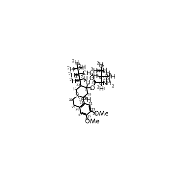 [2H]C1(OC(=O)[C@@]([2H])(N)C([2H])(C([2H])([2H])[2H])C([2H])([2H])[2H])CC2([2H])c3cc(OC)c(OC)cc3CCN2CC1C([2H])([2H])C([2H])(C)C([2H])([2H])[2H]